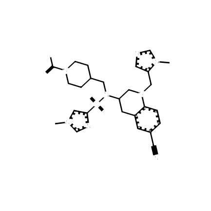 Cn1cnc(S(=O)(=O)N(CC2CCN(C(=O)O)CC2)C2Cc3cc(C#N)ccc3N(Cc3cncn3C)C2)c1